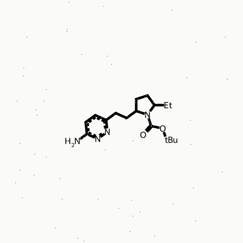 CCC1CCC(CCc2ccc(N)nn2)N1C(=O)OC(C)(C)C